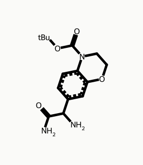 CC(C)(C)OC(=O)N1CCOc2cc(C(N)C(N)=O)ccc21